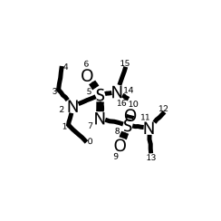 CCN(CC)S(=O)(=NS(=O)(=O)N(C)C)N(C)C